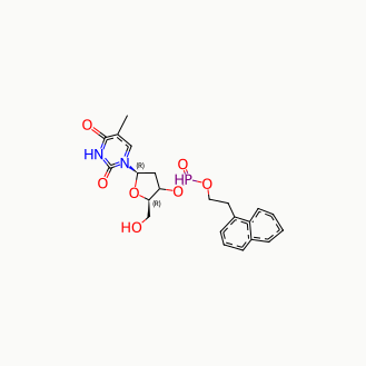 Cc1cn([C@H]2CC(O[PH](=O)OCCc3cccc4ccccc34)[C@@H](CO)O2)c(=O)[nH]c1=O